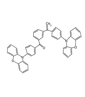 C=C(c1ccc(N2c3ccccc3Oc3ccccc32)cc1)c1cccc(C(=O)c2ccc(N3c4ccccc4Oc4ccccc43)cc2)c1